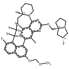 [2H]C([2H])([2H])C([2H])([2H])c1c(F)ccc2cc(OCOC)cc(-c3nc4c5c(nc(OC[C@@]67CCCN6C[C@H](F)C7)nc5c3F)N3CCCC[C@H]3CO4)c12